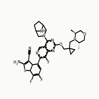 C[C@H]1COC[C@H](C)N1CC1(COc2nc(N3CC4CCC(C3)N4)c3cnc(C4=CC(F)=C(F)C5SC(N)=C(C#N)C45)c(F)c3n2)CC1